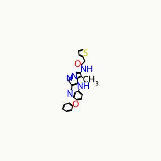 Cc1c(NC(=O)Cc2cccs2)cn2ncc(C#N)c(Nc3ccc(Oc4ccccc4)cc3)c12